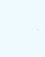 CCCCCCCCCCCCCC(=O)OC1=NCCS1